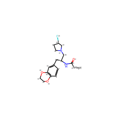 CCCCCCCC(=O)N[C@@H](Cc1ccc2c(c1)OCCO2)CN1CC[C@@H](F)C1